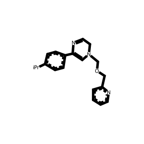 CC(C)c1ccc(C2=CN(COCc3ccccn3)CC=N2)cc1